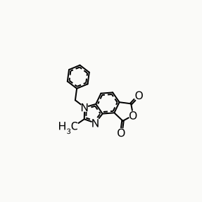 Cc1nc2c3c(ccc2n1Cc1ccccc1)C(=O)OC3=O